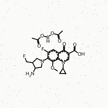 CC(=O)OBOC(C)=O.COc1c(N2CC(N)C(CF)C2)c(F)cc2c(=O)c(C(=O)O)cn(C3CC3)c12